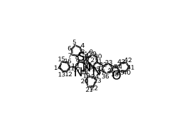 C[Si]1(C)c2ccccc2-c2c(-c3ccccc3)nc(-c3ccccc3-n3c4ccccc4c4cc5c(cc43)oc3ccccc35)nc21